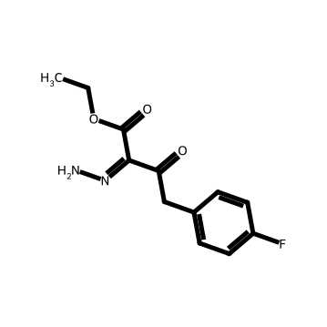 CCOC(=O)C(=NN)C(=O)Cc1ccc(F)cc1